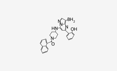 Bc1cnn2c(NC3CCN(C(=O)c4cccc5ccccc45)CC3)cc(-c3ccccc3O)nc12